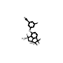 B[C@]1(F)C[C@@]2(O)c3c(ccc(Oc4cc(F)cc(C#N)c4)c31)C(F)(F)C2(F)F